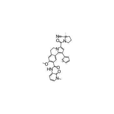 COc1cc2c(cc1C(=O)Nc1cccn(C)c1=O)-c1c(-c3cccs3)cc(C(=O)N3CCC[C@]3(C)C#N)n1CC2